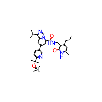 CCCc1cc(C)[nH]c(=O)c1CNC(=O)c1cc(-c2ccc(C(C)(C)O[Si](C)(C)C)nc2)cc2c(C(C)C)ncn12